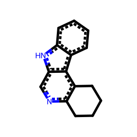 c1ccc2c(c1)[nH]c1cnc3c(c12)CCCC3